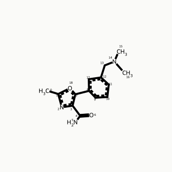 Cc1nc(C(N)=O)c(-c2cccc(CN(C)C)c2)o1